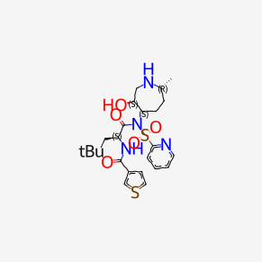 C[C@@H]1CC[C@H](N(C(=O)[C@H](CC(C)(C)C)NC(=O)c2ccsc2)S(=O)(=O)c2ccccn2)[C@@H](O)CN1